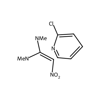 CNC(=C[N+](=O)[O-])NC.Clc1ccccn1